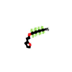 FC(F)(F)C(F)(F)C(F)(F)C(F)(F)C(F)(F)OCCC1CCCO1